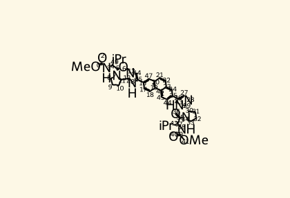 COC(=O)N[C@H](C(=O)N1CCCC1c1ncc(-c2ccc3c(ccc4cc(-c5cnc([C@@H]6CCCN6C(=O)[C@@H](NC(=O)OC)C(C)C)[nH]5)ccc43)c2)[nH]1)C(C)C